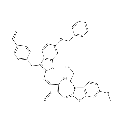 C=Cc1ccc(C[n+]2c(/C=C3/C(=O)C(/C=C4/Sc5cc(OC)ccc5N4CCO)=C3S)sc3cc(OCc4ccccc4)ccc32)cc1